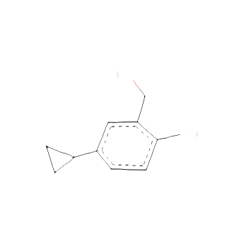 CC(C)(C)c1ccc(C2CC2)cc1[CH]O